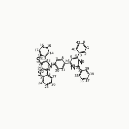 c1ccc(-c2cc(-c3ccc(-n4c5c6ccccc6sc5c5sc6ccccc6c54)cc3)nc(-c3ccccc3)n2)cc1